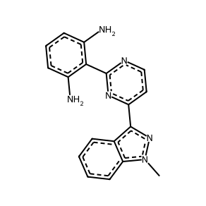 Cn1nc(-c2ccnc(-c3c(N)cccc3N)n2)c2ccccc21